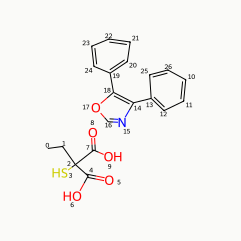 CCC(S)(C(=O)O)C(=O)O.c1ccc(-c2ncoc2-c2ccccc2)cc1